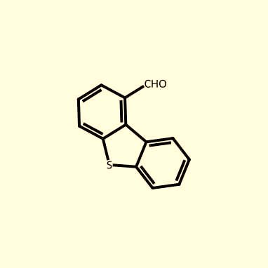 O=Cc1cccc2sc3ccccc3c12